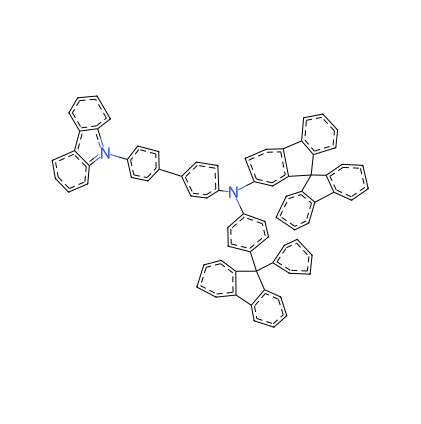 c1ccc(C2(c3ccc(N(c4ccc(-c5ccc(-n6c7ccccc7c7ccccc76)cc5)cc4)c4ccc5c(c4)C4(c6ccccc6-c6ccccc64)c4ccccc4-5)cc3)c3ccccc3-c3ccccc32)cc1